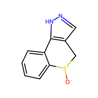 [O-][S+]1Cc2cn[nH]c2-c2ccccc21